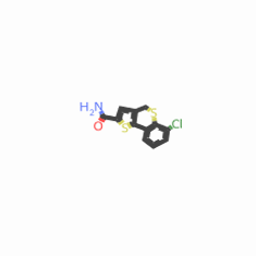 NC(=O)c1cc2c(s1)-c1cccc(Cl)c1SC2